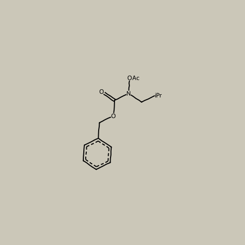 CC(=O)ON(CC(C)C)C(=O)OCc1ccccc1